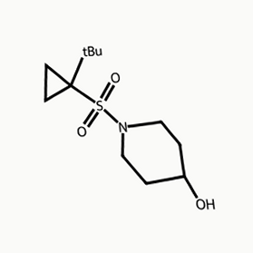 CC(C)(C)C1(S(=O)(=O)N2CCC(O)CC2)CC1